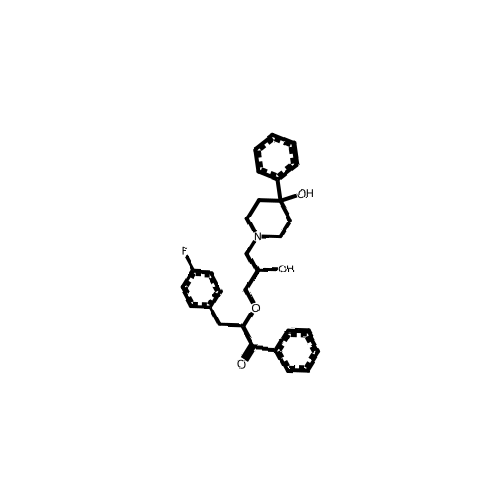 O=C(c1ccccc1)C(Cc1ccc(F)cc1)OCC(O)CN1CCC(O)(c2ccccc2)CC1